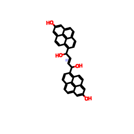 Oc1cc2ccc3ccc(C(O)/C=C/C(O)c4ccc5ccc6cc(O)cc7ccc4c5c67)c4ccc(c1)c2c34